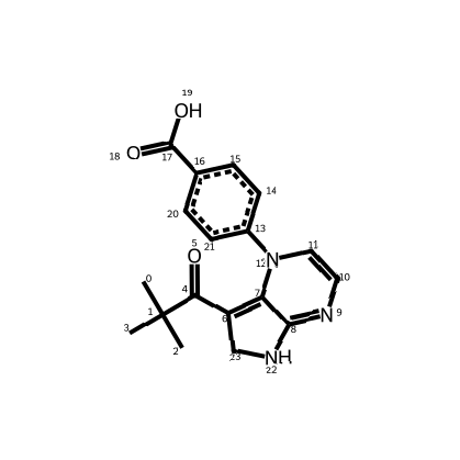 CC(C)(C)C(=O)C1=C2C(=NC=CN2c2ccc(C(=O)O)cc2)NC1